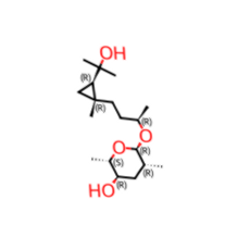 C[C@H](CC[C@]1(C)C[C@H]1C(C)(C)O)O[C@@H]1O[C@@H](C)[C@H](O)C[C@H]1C